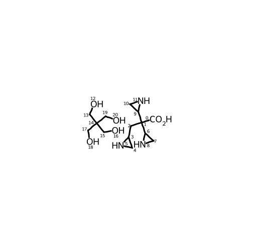 O=C(O)C(CC1CN1)(C1CN1)C1CN1.OCC(CO)(CO)CO